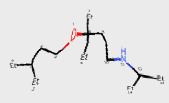 CCC(CC)CCOC(CC)(CC)CCNC(CC)CC